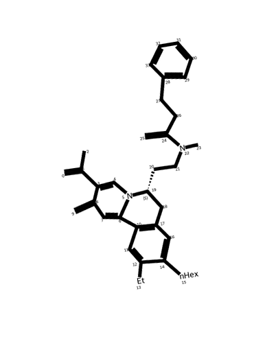 C=C(C)C1=CN2C(=CC1=C)c1cc(CC)c(CCCCCC)cc1C[C@H]2CCN(C)C(=C)CCc1ccccc1